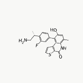 Cc1cc(O)c(-c2ccc([C@@H](C)CN)c(F)c2)c2c1[nH]c(=O)c1sccc12